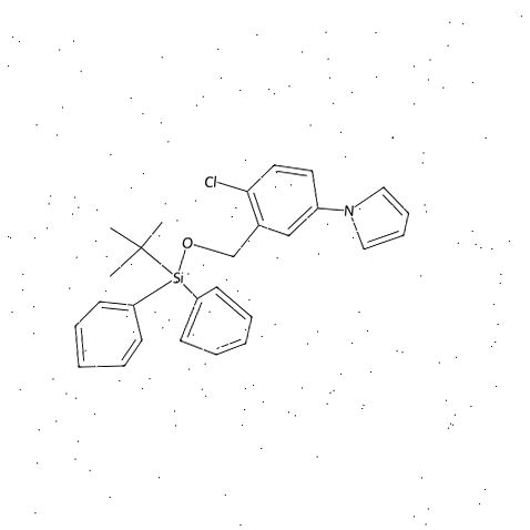 CC(C)(C)[Si](OCc1cc(-n2cccc2)ccc1Cl)(c1ccccc1)c1ccccc1